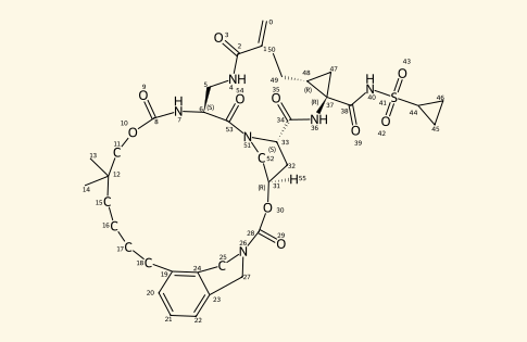 C=CC(=O)NC[C@@H]1NC(=O)OCC(C)(C)CCCCc2cccc3c2CN(C3)C(=O)O[C@@H]2C[C@@H](C(=O)N[C@]3(C(=O)NS(=O)(=O)C4CC4)C[C@H]3CC)N(C2)C1=O